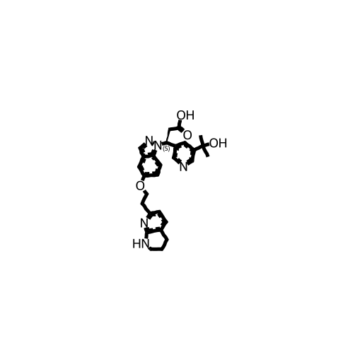 CC(C)(O)c1cncc([C@H](CC(=O)O)n2ncc3cc(OCCc4ccc5c(n4)NCCC5)ccc32)c1